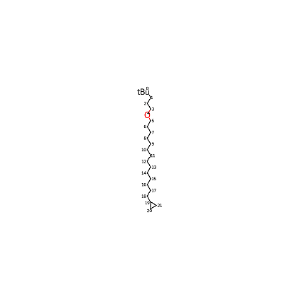 CC(C)(C)CCCOCCCCCCCCCCCCCCC1CC1